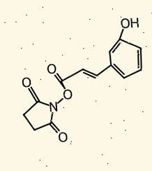 O=C(C=Cc1cccc(O)c1)ON1C(=O)CCC1=O